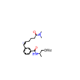 COCC(C)NC(=O)c1cccc(/C=C\CCCC(=O)N(C)C)c1